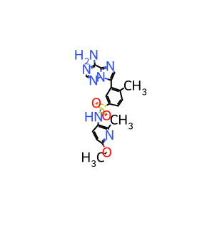 COc1ccc(NS(=O)(=O)c2ccc(C)c(-c3cnc4c(N)ncnn34)c2)c(C)n1